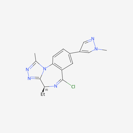 CC[C@@H]1N=C(Cl)c2cc(-c3cnn(C)c3)ccc2-n2c(C)nnc21